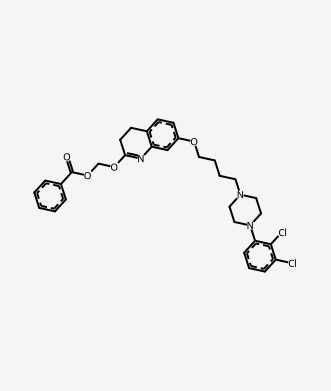 O=C(OCOC1=Nc2cc(OCCCCN3CCN(c4cccc(Cl)c4Cl)CC3)ccc2CC1)c1ccccc1